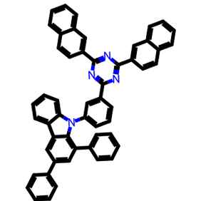 c1ccc(-c2cc(-c3ccccc3)c3c(c2)c2ccccc2n3-c2cccc(-c3nc(-c4ccc5ccccc5c4)nc(-c4ccc5ccccc5c4)n3)c2)cc1